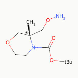 CC(C)(C)OC(=O)N1CCOC[C@]1(C)CON